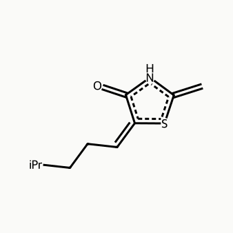 C=c1[nH]c(=O)/c(=C\CCC(C)C)s1